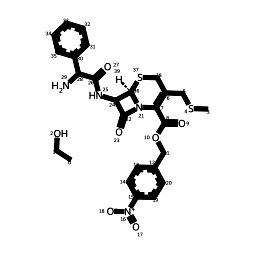 CCO.CSCC1=C(C(=O)OCc2ccc([N+](=O)[O-])cc2)N2C(=O)C(NC(=O)C(N)c3ccccc3)[C@H]2SC1